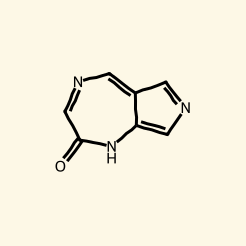 O=c1cncc2cncc-2[nH]1